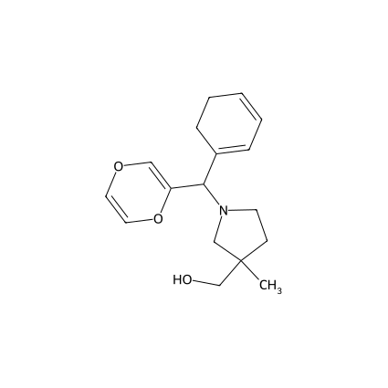 CC1(CO)CCN(C(C2=CC=CCC2)C2=COC=CO2)C1